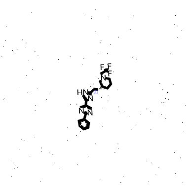 FC(F)(F)CN1CCC[C@H](/C=C/c2nc(-c3cnc(-c4ccccc4)nc3)c[nH]2)C1